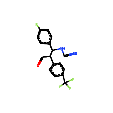 N=CNC(c1ccc(F)cc1)C(C=O)c1ccc(C(F)(F)F)cc1